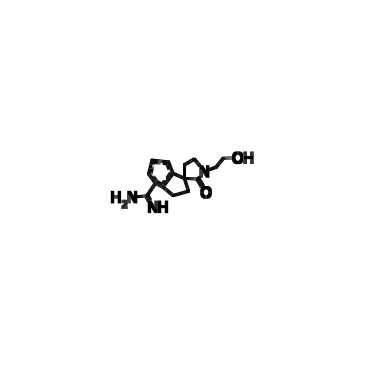 N=C(N)c1cccc2c1CCC21CCN(CCO)C1=O